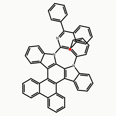 c1ccc(-c2nc(-n3c4ccccc4c4c5c6ccccc6c6ccccc6c5c5c6ccccc6n(-c6ccccc6)c5c43)nc3ccccc23)cc1